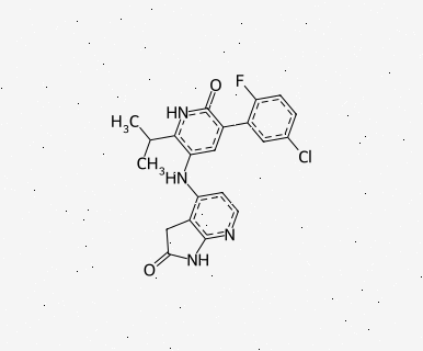 CC(C)c1[nH]c(=O)c(-c2cc(Cl)ccc2F)cc1Nc1ccnc2c1CC(=O)N2